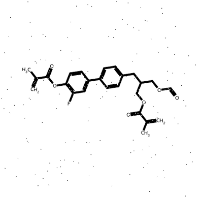 C=C(C)C(=O)OCC(COC=O)Cc1ccc(-c2ccc(OC(=O)C(=C)C)c(F)c2)cc1